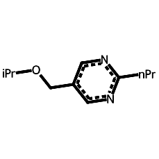 CCCc1ncc(COC(C)C)cn1